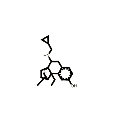 CCC12c3cc(O)ccc3CC(NCC3CC3)C13CCC(C)C2CC3